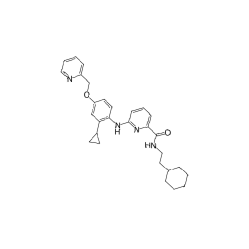 O=C(NCCC1CCCCC1)c1cccc(Nc2ccc(OCc3ccccn3)cc2C2CC2)n1